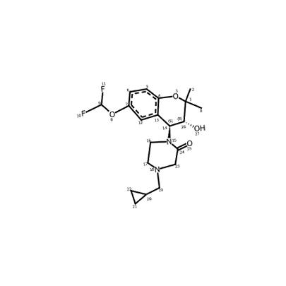 CC1(C)Oc2ccc(OC(F)F)cc2[C@H](N2CCN(CC3CC3)CC2=O)[C@H]1O